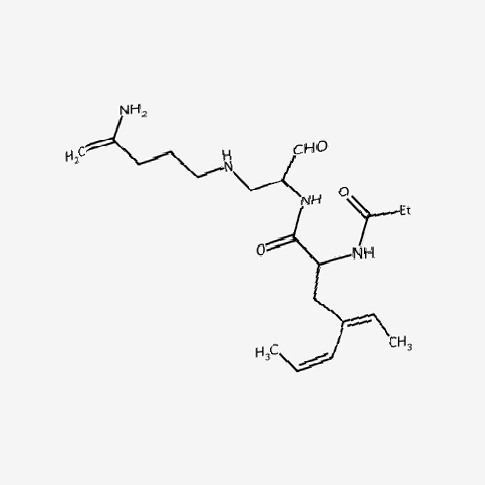 C=C(N)CCCNCC(C=O)NC(=O)C(CC(/C=C\C)=C/C)NC(=O)CC